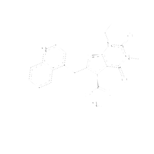 CCn1c(=O)n(C)c(=O)c2c(C(=O)[O-])c(Cc3ccnc4ccccc34)sc21.[Na+]